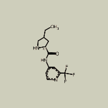 CCC1CN[C@H](C(=O)Nc2ccnc(C(F)(F)F)c2)C1